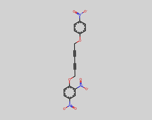 O=[N+]([O-])c1ccc(OCC#CC#CCOc2ccc([N+](=O)[O-])cc2[N+](=O)[O-])cc1